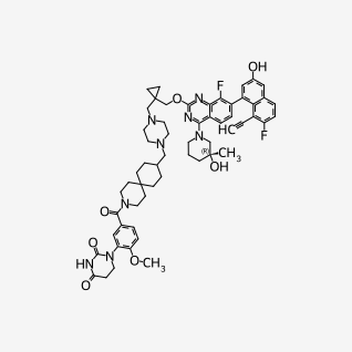 C#Cc1c(F)ccc2cc(O)cc(-c3ccc4c(N5CCC[C@@](C)(O)C5)nc(OCC5(CN6CCN(CC7CCC8(CC7)CCN(C(=O)c7ccc(OC)c(N9CCC(=O)NC9=O)c7)CC8)CC6)CC5)nc4c3F)c12